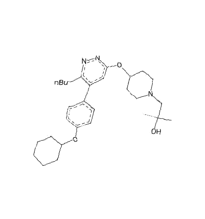 CCCCc1nnc(OC2CCN(CC(C)(C)O)CC2)cc1-c1ccc(OC2CCCCC2)cc1